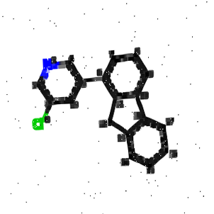 Clc1cncc(-c2cccc3c2[CH]c2ccccc2-3)c1